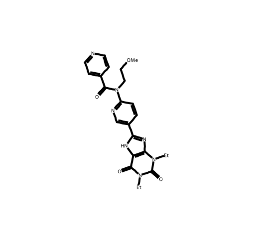 CCn1c(=O)c2[nH]c(-c3ccc(N(CCOC)C(=O)c4ccncc4)nc3)nc2n(CC)c1=O